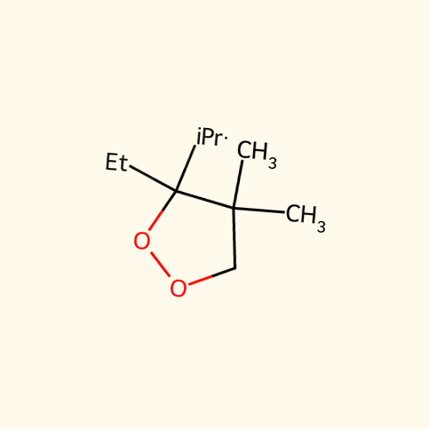 CCC1([C](C)C)OOCC1(C)C